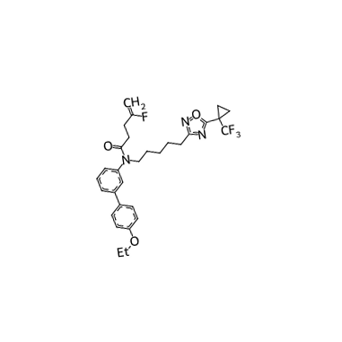 C=C(F)CCC(=O)N(CCCCCc1noc(C2(C(F)(F)F)CC2)n1)c1cccc(-c2ccc(OCC)cc2)c1